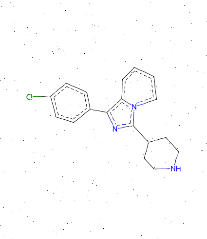 Clc1ccc(-c2nc(C3CCNCC3)n3ccccc23)cc1